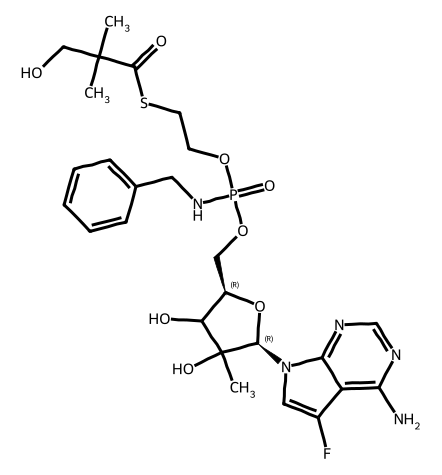 CC(C)(CO)C(=O)SCCOP(=O)(NCc1ccccc1)OC[C@H]1O[C@@H](n2cc(F)c3c(N)ncnc32)C(C)(O)C1O